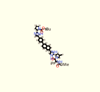 C=C1C[C@@H](C2NC=C(c3ccc4cc(-c5ccc(-c6cnc([C@@H]7CCCN7C(=O)OC(C)(C)C)[nH]6)cc5)ccc4c3)N2)N(C(=O)[C@@H](NC(=O)OC)C(C)C)C1